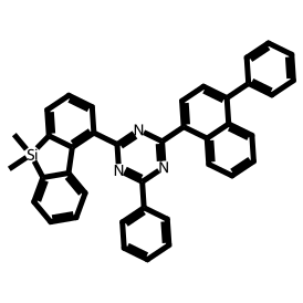 C[Si]1(C)c2ccccc2-c2c(-c3nc(-c4ccccc4)nc(-c4ccc(-c5ccccc5)c5ccccc45)n3)cccc21